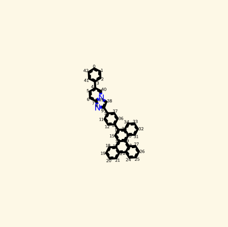 c1ccc(-c2ccc3nc(-c4ccc(-c5cc6c7ccccc7c7ccccc7c6c6ccccc56)cc4)cn3c2)cc1